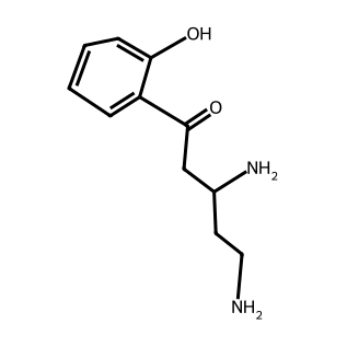 NCCC(N)CC(=O)c1ccccc1O